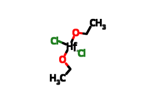 CC[O][Hf]([Cl])([Cl])[O]CC